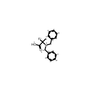 CC(F)(C(=O)O)N(Cc1ccccc1)Cc1ccccc1